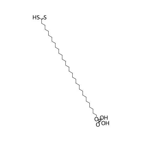 O=P(O)(O)OCCCCCCCCCCCCCCCCCCCCCCCCCCCCCCCCC(=S)S